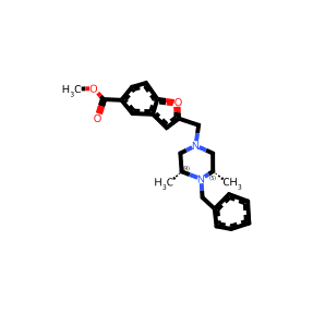 COC(=O)c1ccc2oc(CN3C[C@@H](C)N(Cc4ccccc4)[C@@H](C)C3)cc2c1